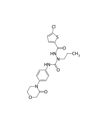 CCCN(NC(=O)c1ccc(Cl)s1)C(=O)Nc1ccc(N2CCOCC2=O)cc1